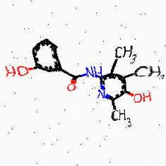 Cc1nc(NC(=O)c2cccc(O)c2)c(C)c(C)c1O